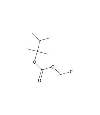 CC(C)C(C)(C)OC(=O)OCCl